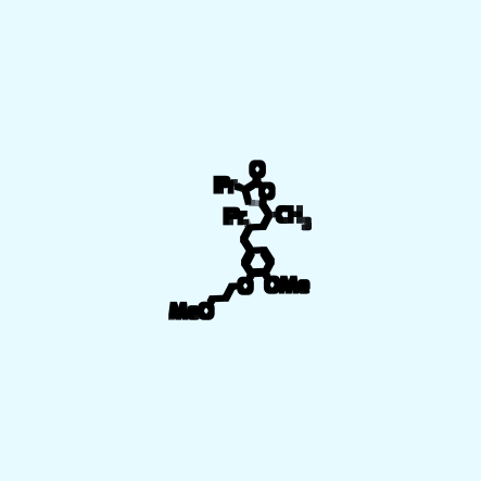 COCCCOc1cc(C[C@@H](C[C@@H](C)[C@@H]2C[C@@H](C(C)C)C(=O)O2)C(C)C)ccc1OC